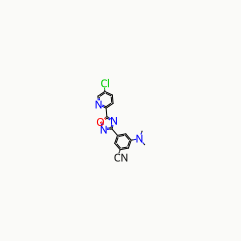 CN(C)c1cc(C#N)cc(-c2noc(-c3ccc(Cl)cn3)n2)c1